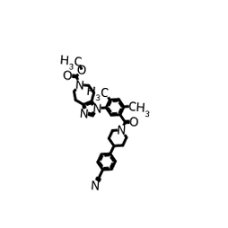 COC(=O)N1CCc2ncn(-c3cc(C(=O)N4CCC(c5ccc(C#N)cc5)CC4)c(C)cc3C)c2CC1